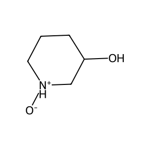 [O-][NH+]1CCCC(O)C1